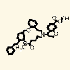 COC(=O)CCCCN(CCc1ccccc1OCc1ccc(CCc2ccccc2)cc1)C1CCOc2cc(C(=O)OC)ccc21